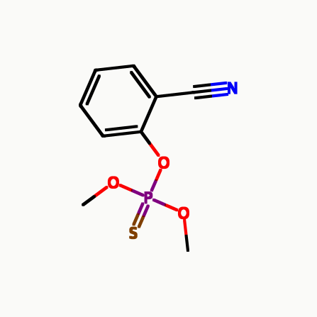 COP(=S)(OC)Oc1ccccc1C#N